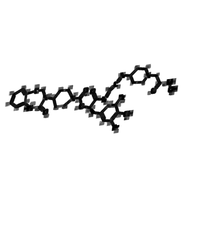 O=C(CN1CCC(N=C=C=NC(=O)[C@@H](Cc2cc(Br)c(O)c(Br)c2)OC(=O)N2CCC(N3CCc4ccccc4NC3=O)CC2)CC1)NO